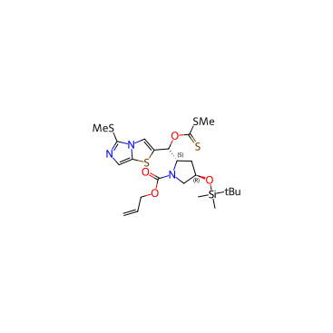 C=CCOC(=O)N1C[C@H](O[Si](C)(C)C(C)(C)C)C[C@H]1C(OC(=S)SC)c1cn2c(SC)ncc2s1